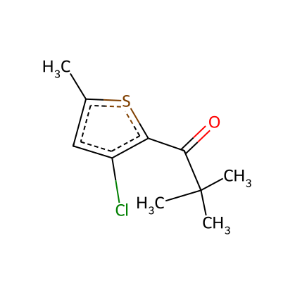 Cc1cc(Cl)c(C(=O)C(C)(C)C)s1